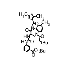 Cc1ccc2c(c1)N(CC(=O)c1cc(C)sc1C)C(=O)C(NC(=O)Nc1cccc(C(=O)OC(C)(C)C)c1)CN2C(=O)CC(C)(C)C